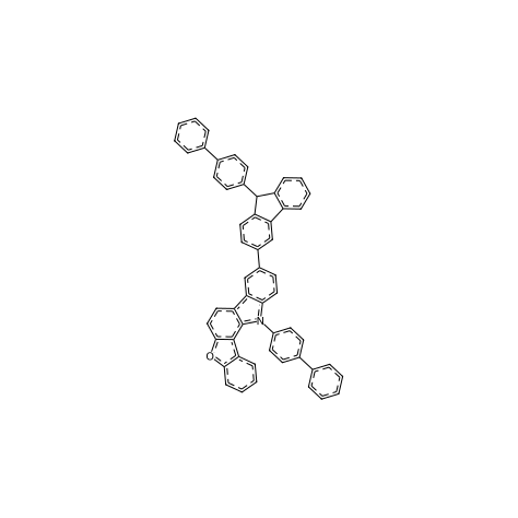 c1ccc(-c2ccc(C3c4ccccc4-c4cc(-c5ccc6c(c5)c5ccc7oc8ccccc8c7c5n6-c5ccc(-c6ccccc6)cc5)ccc43)cc2)cc1